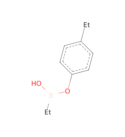 CCB(O)Oc1ccc(CC)cc1